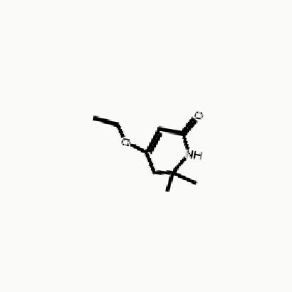 CCOC1=CC(=O)NC(C)(C)C1